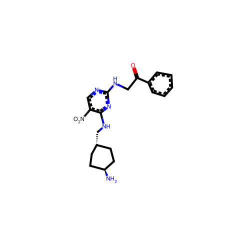 N[C@H]1CC[C@H](CNc2nc(NCC(=O)c3ccccc3)ncc2[N+](=O)[O-])CC1